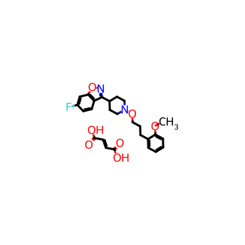 COc1ccccc1CCCON1CCC(c2noc3cc(F)ccc23)CC1.O=C(O)/C=C/C(=O)O